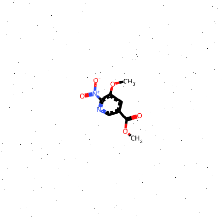 COC(=O)c1cnc([N+](=O)[O-])c(OC)c1